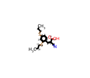 CCCSc1ccc(C=C(C#N)C(=O)O)c(SCCC)c1